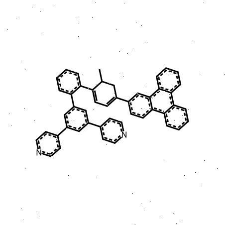 CC1CC(c2ccc3c4ccccc4c4ccccc4c3c2)=CC=C1c1ccccc1-c1cc(-c2ccncc2)cc(-c2ccncc2)c1